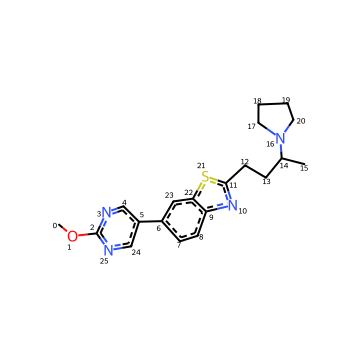 COc1ncc(-c2ccc3nc(CCC(C)N4CCCC4)sc3c2)cn1